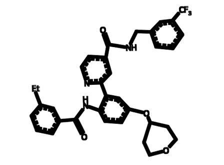 CCc1cccc(C(=O)Nc2ccc(OC3CCOCC3)cc2-c2cc(C(=O)NCc3cccc(C(F)(F)F)c3)ccn2)c1